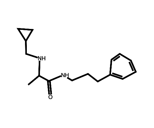 CC(NCC1CC1)C(=O)NCCCc1ccccc1